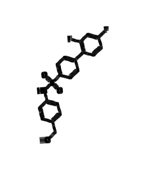 O=S(=O)(Nc1ccc(CO)cc1)c1ccc(-c2ccc(F)cc2F)cc1